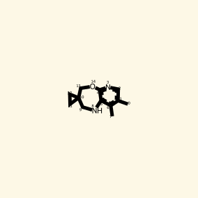 Cc1cnc2c(c1C)NCC1(CC1)CO2